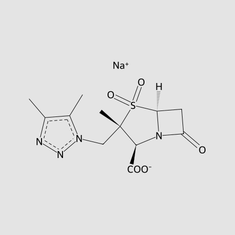 Cc1nnn(C[C@@]2(C)[C@H](C(=O)[O-])N3C(=O)C[C@@H]3S2(=O)=O)c1C.[Na+]